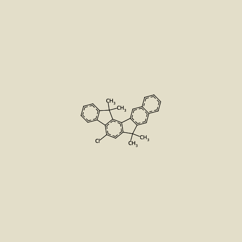 CC1(C)c2cc3ccccc3cc2-c2c1cc(Cl)c1c2C(C)(C)c2ccccc2-1